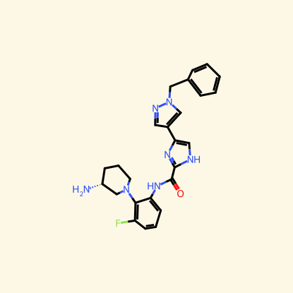 N[C@@H]1CCCN(c2c(F)cccc2NC(=O)c2nc(-c3cnn(Cc4ccccc4)c3)c[nH]2)C1